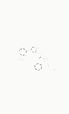 CCNc1ncc(C)c(-c2c[nH]c(OC(=O)NC(CCO)c3ccccc3)c2)n1